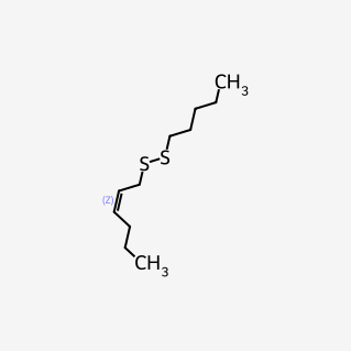 CCC/C=C\CSSCCCCC